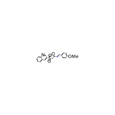 COc1ccc(/C=C/C(=O)CS(=O)(=O)c2cnc3ccccc3c2)cc1